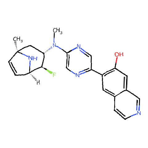 CN(c1cnc(-c2cc3ccncc3cc2O)cn1)[C@H]1C[C@]2(C)C=C[C@@H](N2)[C@@H]1F